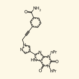 CCCn1c(=O)c2[nH]c(-c3cnn(CC#Cc4cccc(C(N)=O)c4)c3)nc2n(CCC)c1=O